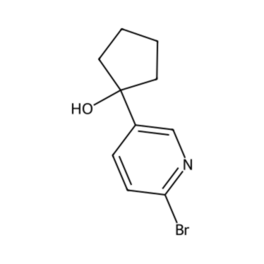 OC1(c2ccc(Br)nc2)CCCC1